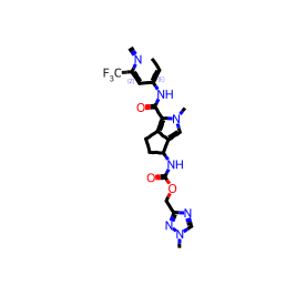 C=N/C(=C\C(=C/C)NC(=O)c1c2c(cn1C)C(NC(=O)OCc1ncn(C)n1)CC2)C(F)(F)F